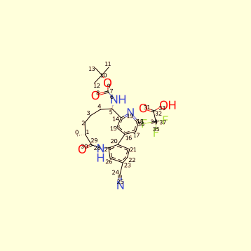 C[C@@H]1CCC[C@H](NC(=O)OC(C)(C)C)c2cc(ccn2)-c2ccc(C#N)cc2NC1=O.O=C(O)C(F)(F)F